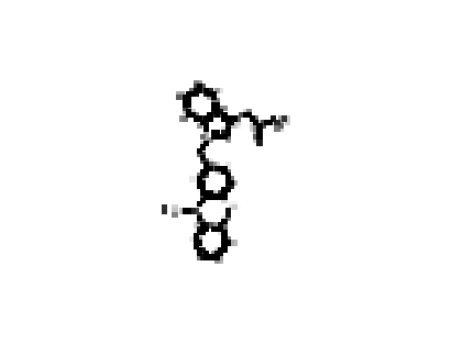 CN(c1cccc(Cn2cc(CC(=O)O)c3ccccc32)c1)c1ccccc1F